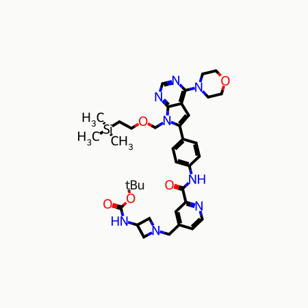 CC(C)(C)OC(=O)NC1CN(Cc2ccnc(C(=O)Nc3ccc(-c4cc5c(N6CCOCC6)ncnc5n4COCC[Si](C)(C)C)cc3)c2)C1